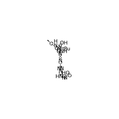 C#Cc1ccc(CNC(=O)[C@@H]2C[C@@H](O)CN2C(=O)[C@@H](NC(=O)N2CC3(CC(N4CCC(c5cnc(N6CCc7[nH]c8nnc(-c9ccccc9O)cc8c7C6)nc5)CC4)C3)C2)C(C)(C)C)cc1